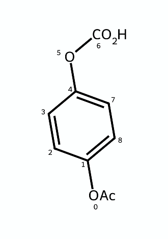 CC(=O)Oc1ccc(OC(=O)O)cc1